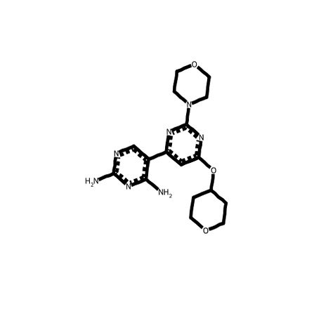 Nc1ncc(-c2cc(OC3CCOCC3)nc(N3CCOCC3)n2)c(N)n1